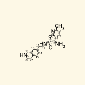 Cc1ccc2c(N)c(C(=O)NCCc3ccc4c(c3)CNCC4)sc2n1